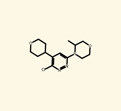 CC1COCCN1c1cc(C2CCOCC2)c(Cl)nn1